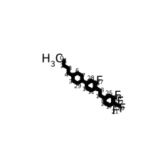 CCCCCC1CCC(c2ccc(CCc3ccc(C(F)(F)F)c(F)c3)c(F)c2)CC1